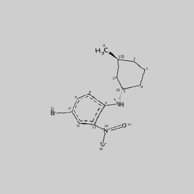 C[C@H]1CCC[C@H](Nc2ccc(Br)cc2[N+](=O)[O-])C1